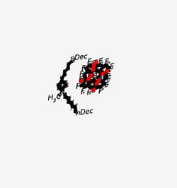 CCCCCCCCCCCCCCCCCC[NH+](C)c1ccc(CCCCCCCCCCCCCCCC)cc1.Fc1c(F)c(F)c2c([B-](c3c(F)c(F)c(F)c4c(F)c(F)c(F)c(F)c34)(c3c(F)c(F)c(F)c4c(F)c(F)c(F)c(F)c34)c3c(F)c(F)c(F)c4c(F)c(F)c(F)c(F)c34)c(F)c(F)c(F)c2c1F